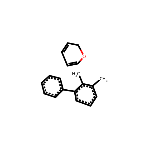 C1=CCOC=C1.Cc1cccc(-c2ccccc2)c1C